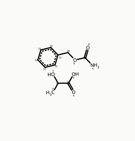 CC(O)C(=O)O.NC(=O)OCc1ccccc1